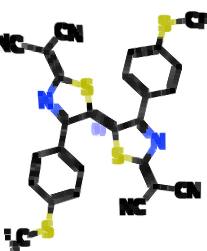 N#CC(C#N)=c1nc(-c2ccc(SC(F)(F)F)cc2)/c(=c2\sc(=C(C#N)C#N)nc2-c2ccc(SC(F)(F)F)cc2)s1